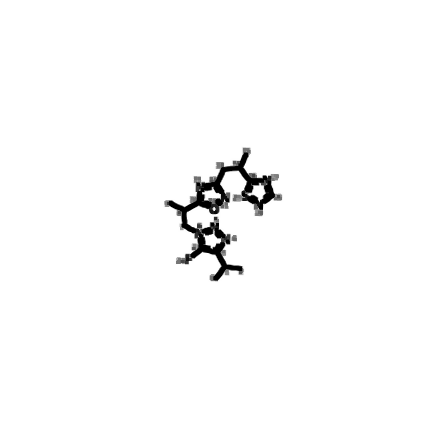 CC(C)c1nnn(CC(C)c2nc(CC(C)c3ncns3)no2)c1F